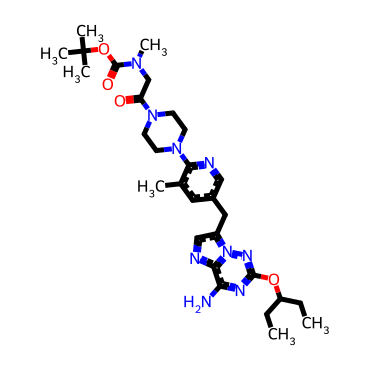 CCC(CC)Oc1nc(N)c2ncc(Cc3cnc(N4CCN(C(=O)CN(C)C(=O)OC(C)(C)C)CC4)c(C)c3)n2n1